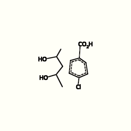 CC(O)CC(C)O.O=C(O)c1ccc(Cl)cc1